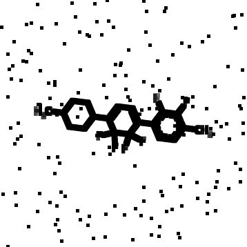 Cc1ccc(C2=CC=C(C3CCC(C)CC3)C(F)(F)C2(F)F)c(F)c1F